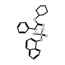 O=C(OC1CCCCC1)[C@H](NP(=O)(Cl)Oc1cccc2ccccc12)c1ccccc1